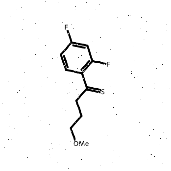 COCCCC(=S)c1ccc(F)cc1F